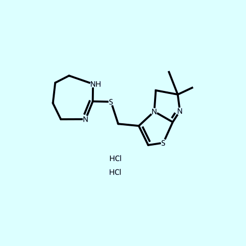 CC1(C)CN2C(CSC3=NCCCCN3)=CSC2=N1.Cl.Cl